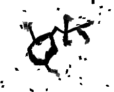 Cc1ccc(C)c(CC(Br)(Br)[SH](=O)=O)c1